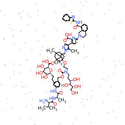 Cc1c(-c2ccc(N3CCc4cccc(C(=O)Nc5nc6ccccc6s5)c4C3)nc2C(=O)O)cnn1CC12CC3(C)CC(C)(C1)CC(OCCN(CC[C@@H](O)[C@H](O)[C@H](O)CO)C(=O)OCc1ccc(NC(=O)C(C)NC(=O)C(N)C(C)C)cc1CC[C@@H]1O[C@H](C(=O)O)[C@@H](O)[C@H](O)[C@H]1O)(C3)C2